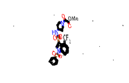 COC(=O)C(=O)N1CCC(NS(=O)(=O)c2cn(S(=O)(=O)c3ccccc3)c3cccc(C(F)(F)F)c23)CC1